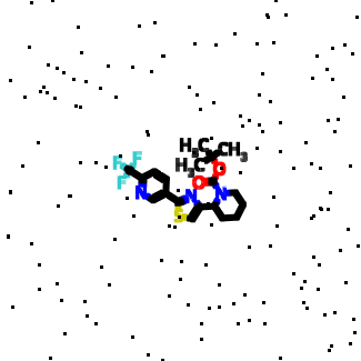 CC(C)(C)OC(=O)N1CCCCC1c1csc(-c2ccc(C(F)(F)F)nc2)n1